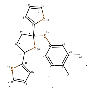 Cc1ccc(SC2(c3cccs3)CCC(c3cccs3)S2)cc1C